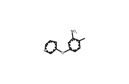 Cc1ccc(Oc2cccnc2)cc1[N+](=O)[O-]